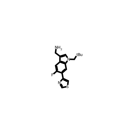 CC(C)(C)Cn1cc(CN)c2cc(F)c(-c3cscn3)cc21